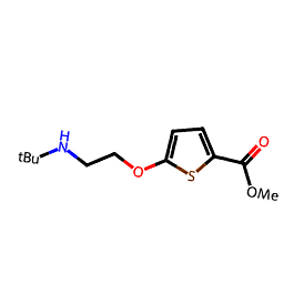 COC(=O)c1ccc(OCCNC(C)(C)C)s1